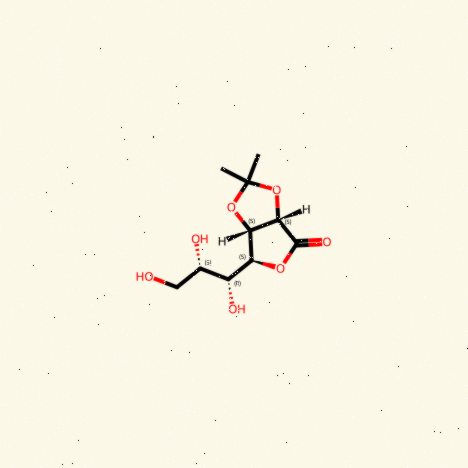 CC1(C)O[C@H]2[C@H]([C@H](O)[C@@H](O)CO)OC(=O)[C@H]2O1